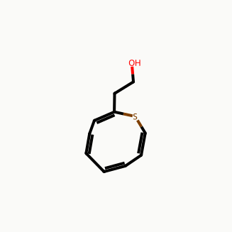 OCCc1cccccccs1